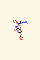 CON=C(C(=O)NC1C(=O)N2C=C(SCC3COCO3)CS[C@H]12)c1csc(N)n1